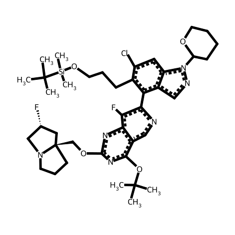 CC(C)(C)Oc1nc(OC[C@@]23CCCN2C[C@H](F)C3)nc2c(F)c(-c3c(CCCO[Si](C)(C)C(C)(C)C)c(Cl)cc4c3cnn4C3CCCCO3)ncc12